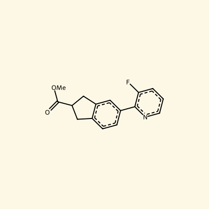 COC(=O)C1Cc2ccc(-c3ncccc3F)cc2C1